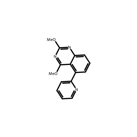 COc1nc(OC)c2c(-c3ccccn3)cccc2n1